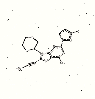 CCCCC#Cc1nc2c(Cl)nc(-c3ccc(C)o3)nc2n1C1CCCCO1